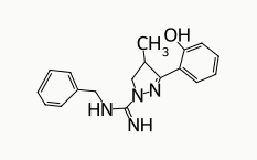 CC1CN(C(=N)NCc2ccccc2)N=C1c1ccccc1O